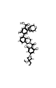 CCC1(OC)CN(c2cc(Cl)c(C(=O)N3COc4c(cccc4-c4cc(N5C6CCC5COC6)c(C(=O)O)cc4F)C3)c(Cl)c2)C1